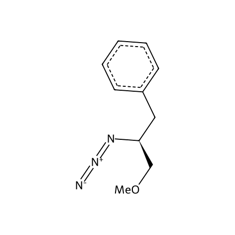 COC[C@H](Cc1ccccc1)N=[N+]=[N-]